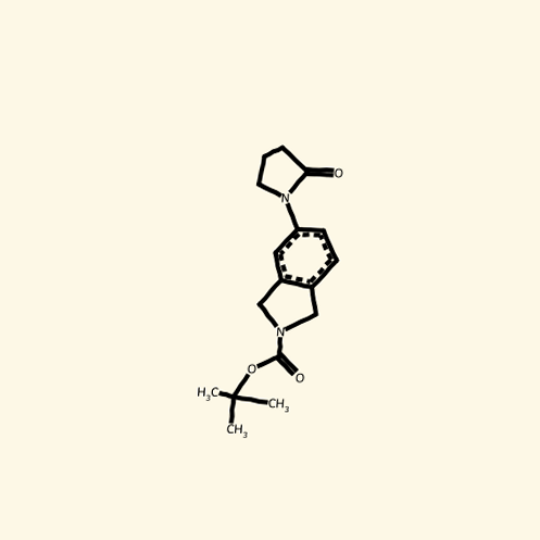 CC(C)(C)OC(=O)N1Cc2ccc(N3CCCC3=O)cc2C1